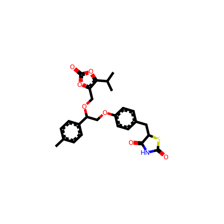 Cc1ccc(C(COc2ccc(CC3SC(=O)NC3=O)cc2)OCc2oc(=O)oc2C(C)C)cc1